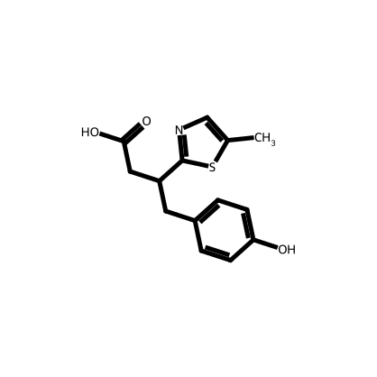 Cc1cnc(C(CC(=O)O)Cc2ccc(O)cc2)s1